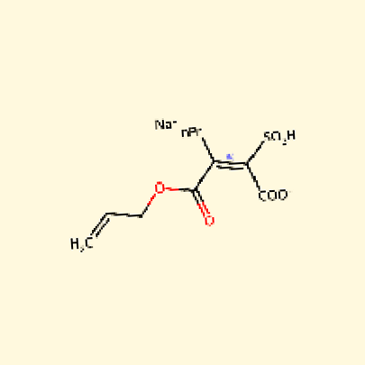 C=CCOC(=O)/C(CCC)=C(\C(=O)[O-])S(=O)(=O)O.[Na+]